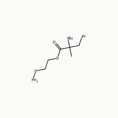 CC(C)CC(C)(C(=O)OCCOP)C(C)(C)C